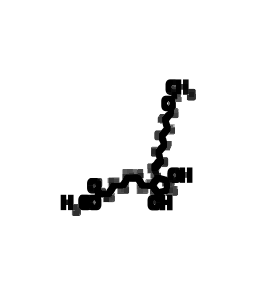 CCOCCCCCC/C=C/[C@@H]1C(C/C=C\CCCC(=O)OC)[C@@H](O)C[C@H]1O